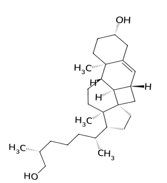 C[C@@H](CO)CCC[C@@H](C)[C@H]1CC[C@]23C[C@H]4C=C5C[C@@H](O)CC[C@]5(C)[C@@H](CC[C@]12C)[C@@H]43